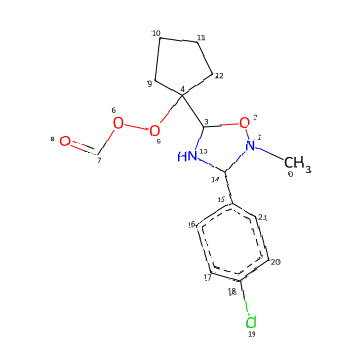 CN1OC(C2(OOC=O)CCCC2)NC1c1ccc(Cl)cc1